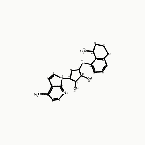 Cc1ccnc2c1ccn2C1CC(Oc2cccc3c2C(N)CCC3)C(O)C1O